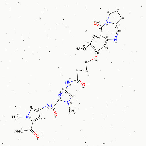 COC(=O)c1cc(NC(=O)c2nc(NC(=O)CCCOc3cc4c(cc3OC)C(=O)N3CCCC3C=N4)cn2C)cn1C